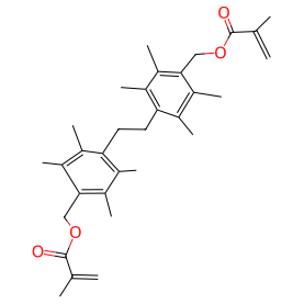 C=C(C)C(=O)OCc1c(C)c(C)c(CCc2c(C)c(C)c(COC(=O)C(=C)C)c(C)c2C)c(C)c1C